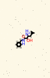 NC(CC1CC1)C(O)C(=O)NCc1ccccc1